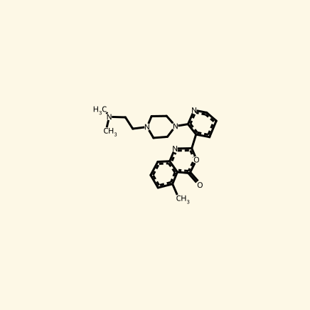 Cc1cccc2nc(-c3cccnc3N3CCN(CCN(C)C)CC3)oc(=O)c12